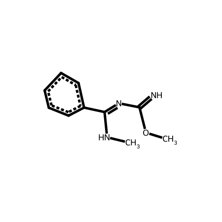 CN/C(=N\C(=N)OC)c1ccccc1